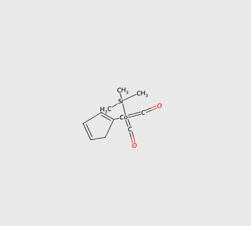 C[Si](C)(C)[Co](=[C]=O)(=[C]=O)[C]1=CC=CC1